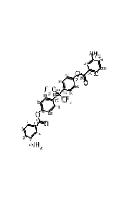 Nc1cccc(C(=O)Oc2ccc(C(c3ccc(OC(=O)c4cccc(N)c4)cc3)(C(F)(F)F)C(F)(F)F)cc2)c1